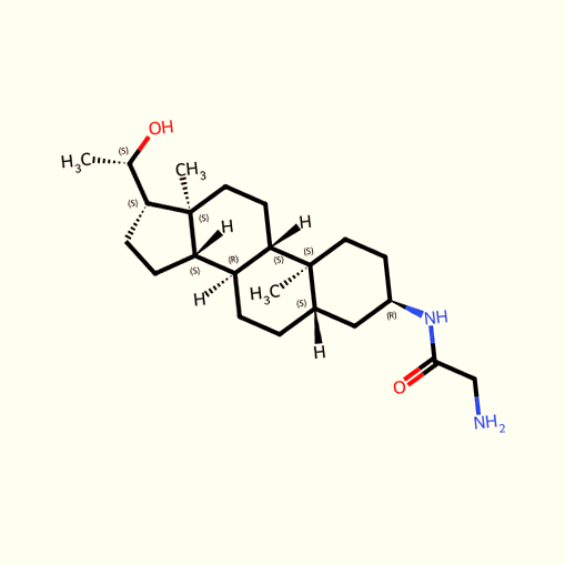 C[C@H](O)[C@H]1CC[C@H]2[C@@H]3CC[C@H]4C[C@H](NC(=O)CN)CC[C@]4(C)[C@H]3CC[C@]12C